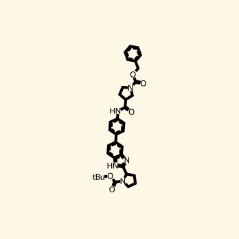 CC(C)(C)OC(=O)N1CCCC1c1nc2cc(-c3ccc(NC(=O)C4CCN(C(=O)OCc5ccccc5)C4)cc3)ccc2[nH]1